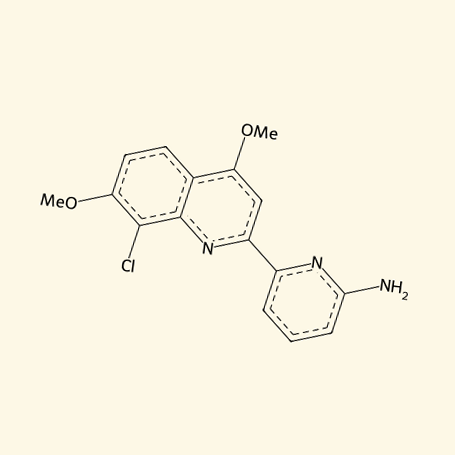 COc1ccc2c(OC)cc(-c3cccc(N)n3)nc2c1Cl